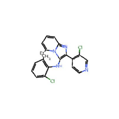 CCc1cccc2nc(-c3ccncc3Cl)c(Nc3c(C)cccc3Cl)n12